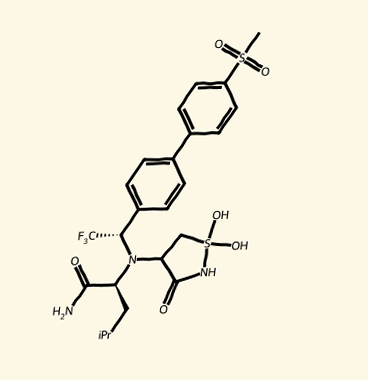 CC(C)C[C@@H](C(N)=O)N(C1CS(O)(O)NC1=O)[C@@H](c1ccc(-c2ccc(S(C)(=O)=O)cc2)cc1)C(F)(F)F